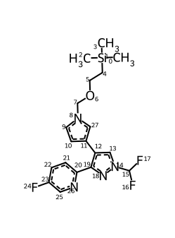 C[Si](C)(C)CCOCn1ccc(-c2cn(C(F)F)nc2-c2ccc(F)cn2)c1